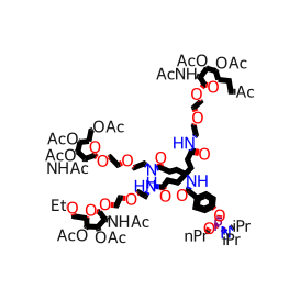 CCCOP(Oc1ccc(C(=O)NC(CCC(=O)NCCOCCOC2OC(CCC(C)=O)C(OC(C)=O)C(OC(C)=O)C2NC(C)=O)(CCC(=O)NCCOCCOC2OC(COCC)C(OC(C)=O)C(OC(C)=O)C2NC(C)=O)CCC(=O)NCCOCCOC2OC(COC(C)=O)C(OC(C)=O)C(OC(C)=O)C2NC(C)=O)cc1)N(C(C)C)C(C)C